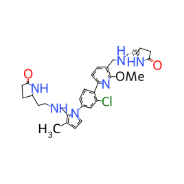 COc1nc(-c2ccc(-n3ccc(C)c3CNCCC3CCC(=O)N3)cc2Cl)ccc1CNC[C@@H]1CCC(=O)N1